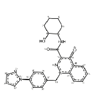 O=C(NC1CCCCC1O)c1nn(Cc2ccc(-n3cccn3)cc2)c2ccccc2c1=O